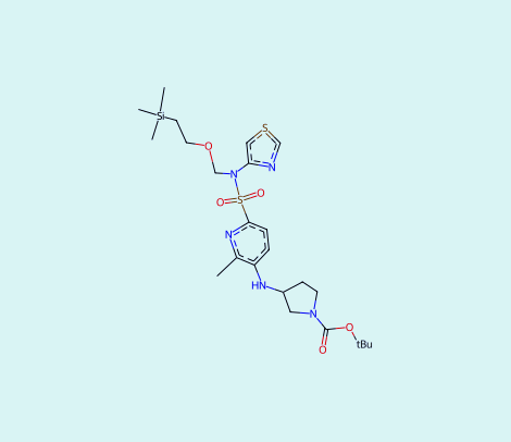 Cc1nc(S(=O)(=O)N(COCC[Si](C)(C)C)c2cscn2)ccc1NC1CCN(C(=O)OC(C)(C)C)C1